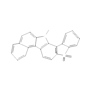 Cn1c2ccc3ccccc3c2c2ccc3c(c21)-c1ccccc1S3(=O)=O